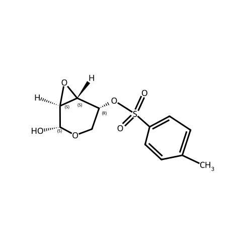 Cc1ccc(S(=O)(=O)O[C@@H]2CO[C@H](O)[C@H]3O[C@@H]32)cc1